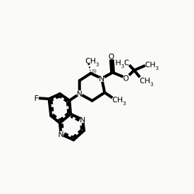 CC1CN(c2cc(F)cc3nccnc23)C[C@H](C)N1C(=O)OC(C)(C)C